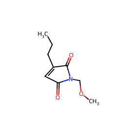 CCCC1=CC(=O)N(COC)C1=O